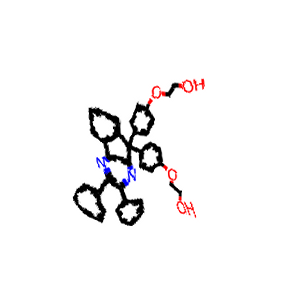 OCCOc1ccc(C2(c3ccc(OCCO)cc3)c3ccccc3-c3nc(-c4ccccc4)c(-c4ccccc4)nc32)cc1